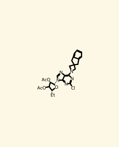 CC[C@H]1O[C@@H](n2cnc3c(N4CC5(Cc6ccccc6C5)C4)nc(Cl)nc32)[C@@H](OC(C)=O)C1OC(C)=O